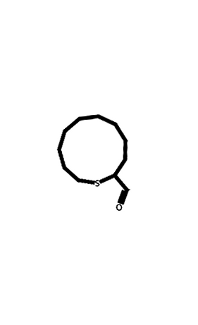 O=[C]C1CCCCCCCCCS1